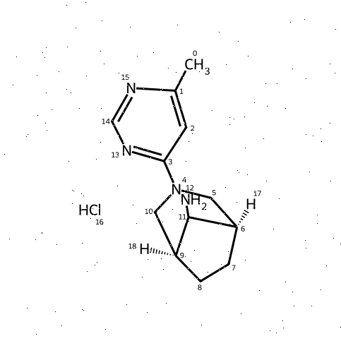 Cc1cc(N2C[C@H]3CC[C@@H](C2)C3N)ncn1.Cl